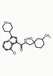 CC1CCCC(O)(CNC(=O)c2cc(C3CCOCC3)n3cccc(Cl)c23)C1